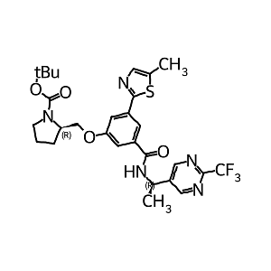 Cc1cnc(-c2cc(OC[C@H]3CCCN3C(=O)OC(C)(C)C)cc(C(=O)N[C@H](C)c3cnc(C(F)(F)F)nc3)c2)s1